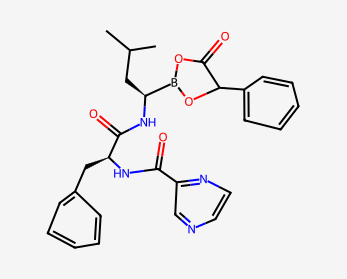 CC(C)C[C@H](NC(=O)[C@H](Cc1ccccc1)NC(=O)c1cnccn1)B1OC(=O)C(c2ccccc2)O1